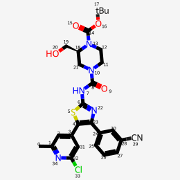 Cc1cc(-c2sc(NC(=O)N3CCN(C(=O)OC(C)(C)C)[C@H](CO)C3)nc2-c2cccc(C#N)c2)cc(Cl)n1